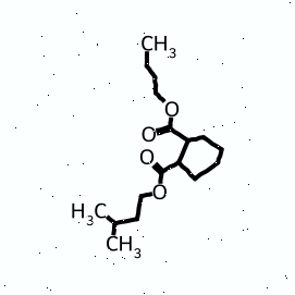 CCCCOC(=O)C1CCCCC1C(=O)OCCC(C)C